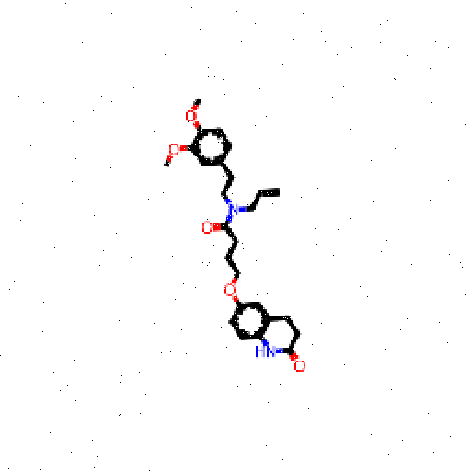 C=CCN(CCc1ccc(OC)c(OC)c1)C(=O)CCCOc1ccc2c(c1)CCC(=O)N2